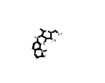 CC1OC(CO)C(O)C(O)C1Nc1ccc2ccc(=O)n(C)c2c1